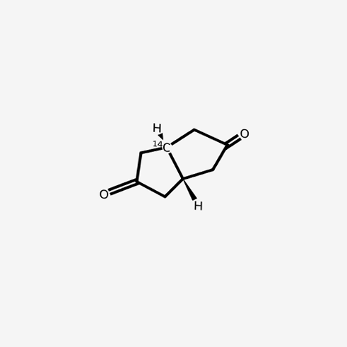 O=C1C[C@H]2CC(=O)C[14C@H]2C1